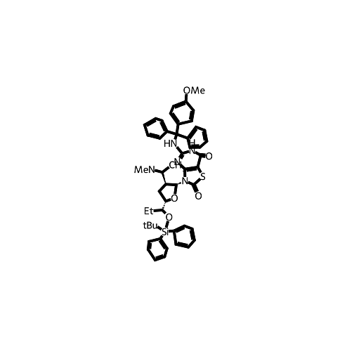 CCC(O[Si](c1ccccc1)(c1ccccc1)C(C)(C)C)[C@@H]1C[C@@H](C(C)NC)[C@H](n2c(=O)sc3c(=O)[nH]c(NC(c4ccccc4)(c4ccccc4)c4ccc(OC)cc4)nc32)O1